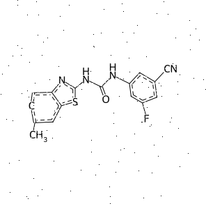 Cc1ccc2nc(NC(=O)Nc3cc(F)cc(C#N)c3)sc2c1